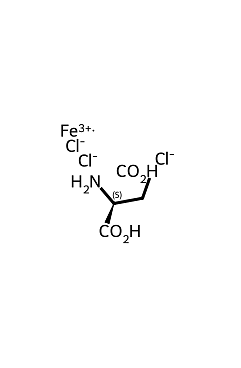 N[C@@H](CC(=O)O)C(=O)O.[Cl-].[Cl-].[Cl-].[Fe+3]